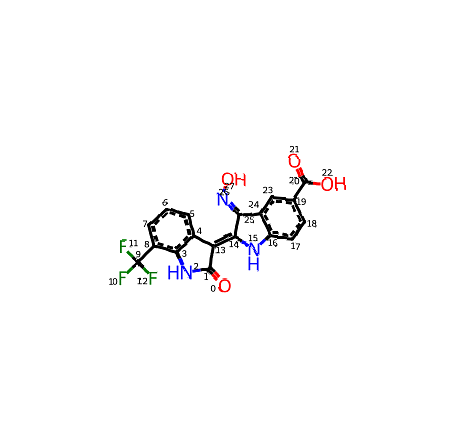 O=C1Nc2c(cccc2C(F)(F)F)/C1=C1/Nc2ccc(C(=O)O)cc2/C1=N\O